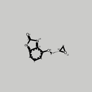 O=C1N=c2cccc(OC[C@@H]3CO3)c2=N1